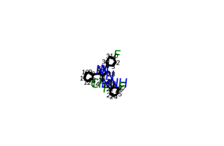 Fc1ccc(-n2nc(-c3ccccc3Cl)c3cnc(Nc4c(F)cccc4F)nc32)cc1